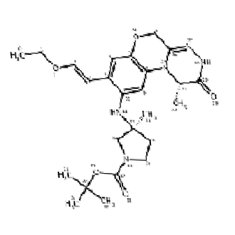 CCOC=Cc1cc2c(cc1N[C@@]1(C)CCN(C(=O)OC(C)(C)C)C1)N1C(=NNC(=O)[C@@H]1C)CO2